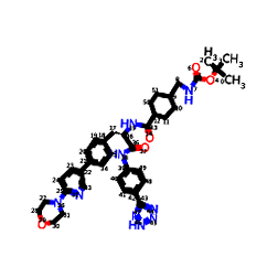 CC(C)(C)OC(=O)NCC1CCC(C(=O)N[C@@H](Cc2ccc(-c3ccc(N4CCOCC4)nc3)cc2)C(=O)Nc2ccc(-c3nn[nH]n3)cc2)CC1